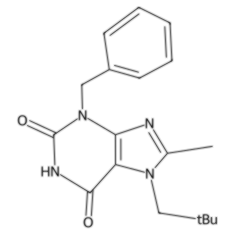 Cc1nc2c(c(=O)[nH]c(=O)n2Cc2ccccc2)n1CC(C)(C)C